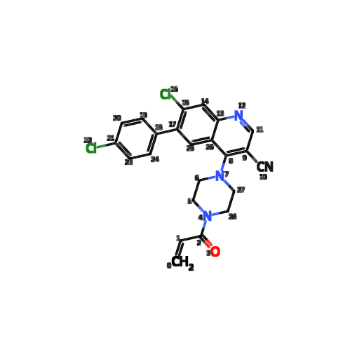 C=CC(=O)N1CCN(c2c(C#N)cnc3cc(Cl)c(-c4ccc(Cl)cc4)cc23)CC1